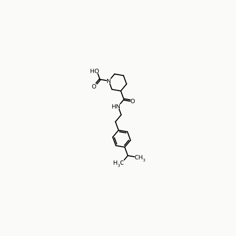 CC(C)c1ccc(CCNC(=O)C2CCCN(C(=O)O)C2)cc1